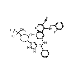 CC(C)(C)N1CCC(N2C=C([C@@H](Nc3cc(Cl)c4ncc(C#N)c(NCc5ccccc5F)c4c3)c3ccccc3)NN2)CC1